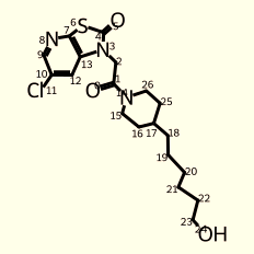 O=C(Cn1c(=O)sc2ncc(Cl)cc21)N1CCC(CCCCCCO)CC1